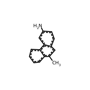 Cc1cc2ccc(N)cc2c2ccccc12